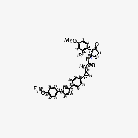 COc1ccc(N2C(=O)CS/C2=N\C(=O)NC2CC2c2ccc(-c3ncn(-c4ccc(OC(F)(F)F)cc4)n3)cc2)c(C(C)C)c1